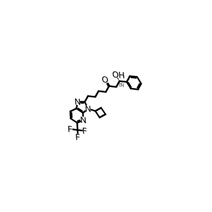 O=C(CCCCc1nc2ccc(C(F)(F)F)nc2n1C1CCC1)C[C@H](O)c1ccccc1